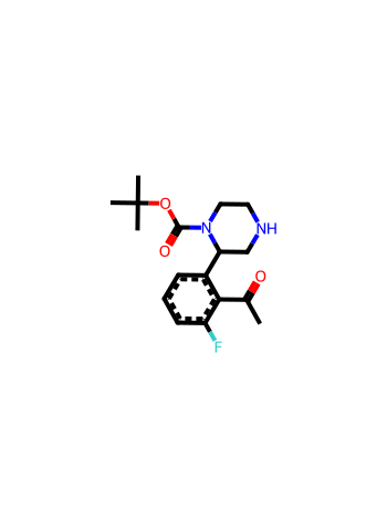 CC(=O)c1c(F)cccc1C1CNCCN1C(=O)OC(C)(C)C